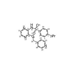 CC(C)c1ccc(S(=O)(=O)Nc2nccnc2OCc2ccncc2)cc1